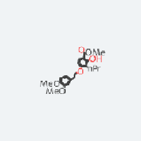 CCCc1c(OCCc2ccc(OC)c(OC)c2)ccc(C(=O)OC)c1O